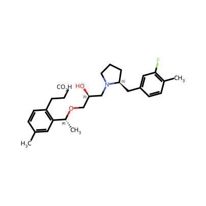 Cc1ccc(CCC(=O)O)c([C@@H](C)OC[C@@H](O)CN2CCC[C@H]2Cc2ccc(C)c(F)c2)c1